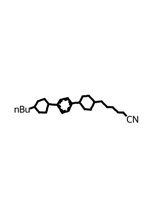 CCCCC1CCC(c2ccc(C3CCC(CCCCCC#N)CC3)cc2)CC1